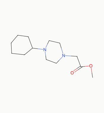 COC(=O)CN1CCN(C2CCCCC2)CC1